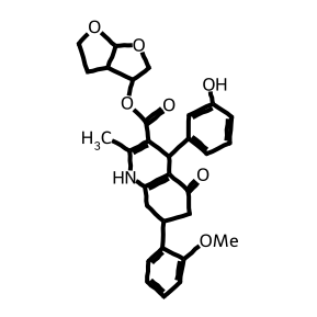 COc1ccccc1C1CC(=O)C2=C(C1)NC(C)=C(C(=O)OC1COC3OCCC13)C2c1cccc(O)c1